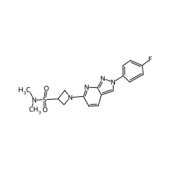 CN(C)S(=O)(=O)C1CN(c2ccc3cn(-c4ccc(F)cc4)nc3n2)C1